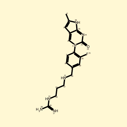 Cc1cc2cn(-c3ccc(CNCCCNC(=N)N)cc3F)c(=O)nc2[nH]1